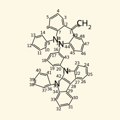 C=C1c2ccccc2N(c2ccccc2)N(c2cccc(-n3c4ccccc4c4c5ccccc5n(-c5ccccc5)c43)c2)c2ccccc21